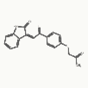 NC(=O)COc1ccc(C(=O)/C=C2\C(=O)Nc3ccccc32)cc1